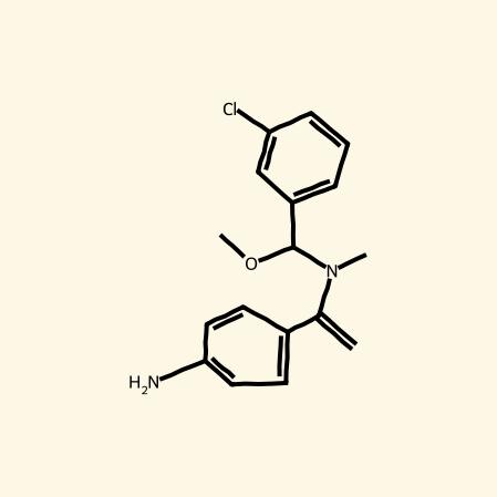 C=C(c1ccc(N)cc1)N(C)C(OC)c1cccc(Cl)c1